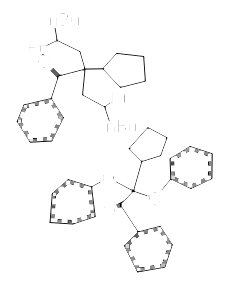 CCCCC(CC)CC(CC(CC)CCCC)(C(=O)c1ccccc1)C1CCCC1.O=C(c1ccccc1)C(Oc1ccccc1)(Oc1ccccc1)C1CCCC1